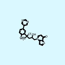 COc1ccc(-c2cncnc2)cc1C(C)(CC(O)Cn1ccc(=O)c2sccc21)C(F)(F)F